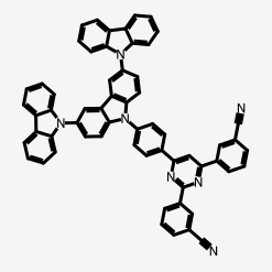 N#Cc1cccc(-c2cc(-c3ccc(-n4c5ccc(-n6c7ccccc7c7ccccc76)cc5c5cc(-n6c7ccccc7c7ccccc76)ccc54)cc3)nc(-c3cccc(C#N)c3)n2)c1